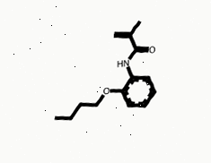 C=C(C)C(=O)Nc1ccccc1OCCCC